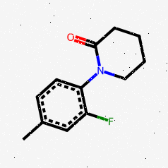 Cc1ccc(N2CCCCC2=O)c(F)c1